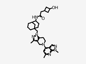 Cc1cc(N2CCc3c(c(C)nn3CC34CCCC(C3)C(NC(=O)CC3CC(O)C3)CC4)C2)c2cnn(C)c2n1